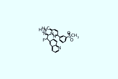 C=C1C=CC(c2cccc(S(C)(=O)=O)c2)=NN1/C(=N\N)C(F)c1ccc2ncccc2c1